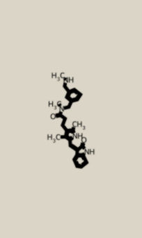 CNCc1cccc(CN(C)C(=O)CCc2c(C)[nH]c(C=C3C(=O)Nc4ccccc43)c2C)c1